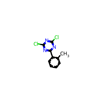 Cc1ccccc1-c1nc(Cl)nc(Cl)n1